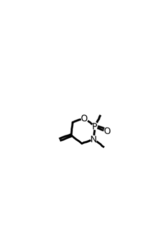 C=C1COP(C)(=O)N(C)C1